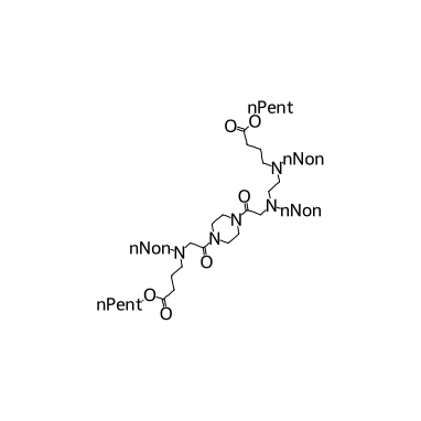 CCCCCCCCCN(CCCC(=O)OCCCCC)CCN(CCCCCCCCC)CC(=O)N1CCN(C(=O)CN(CCCCCCCCC)CCCC(=O)OCCCCC)CC1